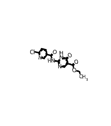 CCOC(=O)c1cnc(NC(=O)c2ccc(Cl)nc2)[nH]c1=O